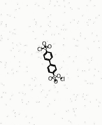 O=S(=O)(Cl)c1ccc(-c2ccc(S(=O)(=O)OCl)cc2)cc1